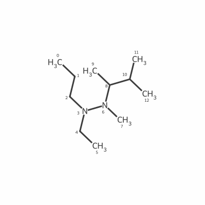 CCCN(CC)N(C)C(C)C(C)C